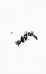 COc1ccc(-c2cnc3c(Nc4ccc(C(=O)N5CCC(C(=O)NCC6CN(C)C6)CC5)c(C)c4)nccn23)cc1F